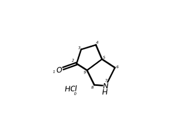 Cl.O=C1CCC2CNCC12